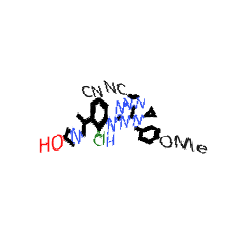 COc1ccc(CN(c2nc(Nc3cc(C#N)cc(C(C)CN4CC(O)C4)c3Cl)nn3c(C#N)cnc23)C2CC2)cc1